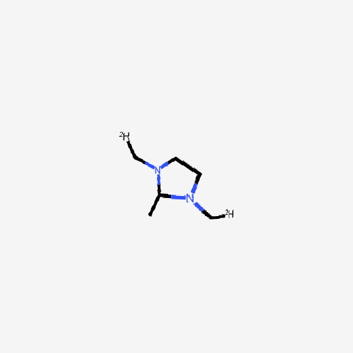 [2H]CN1CCN(C[2H])C1C